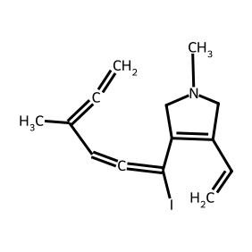 C=C=C(C)C=C=C(I)C1=C(C=C)CN(C)C1